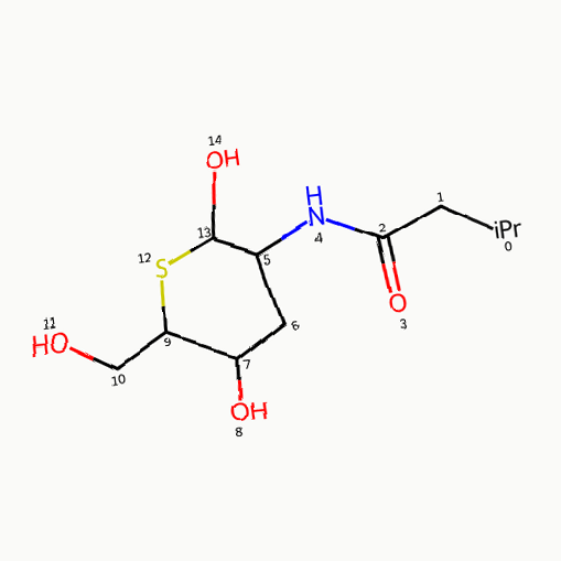 CC(C)CC(=O)NC1CC(O)C(CO)SC1O